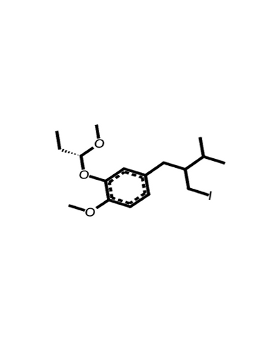 CC[C@H](OC)Oc1cc(CC(CI)C(C)C)ccc1OC